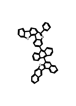 c1ccc(-c2nc3cc(-c4c5ccccc5c(-c5cc6ccccc6c6c5oc5cc7ccccc7cc56)c5ccccc45)ccc3c3c2ccc2c4ccccc4oc23)cc1